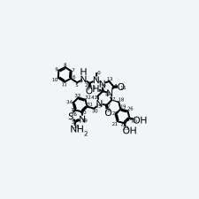 CN(C(=O)NCc1ccccc1)N1CC(=O)N2[C@@H](Cc3ccc(O)c(O)c3)C(=O)N(Cc3cccc4sc(N)nc34)C[C@@H]21